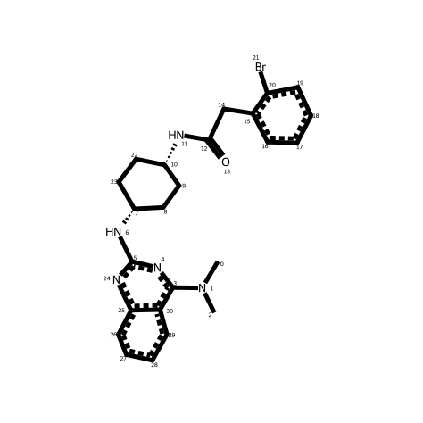 CN(C)c1nc(N[C@H]2CC[C@@H](NC(=O)Cc3ccccc3Br)CC2)nc2ccccc12